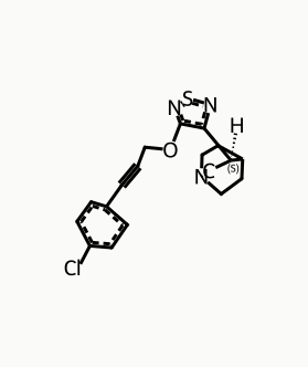 Clc1ccc(C#CCOc2nsnc2[C@@H]2CN3CCC2CC3)cc1